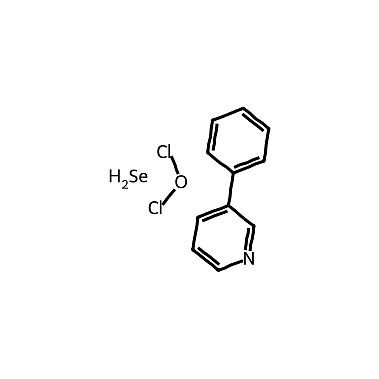 ClOCl.[SeH2].c1ccc(-c2cccnc2)cc1